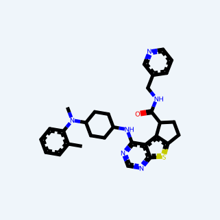 Cc1ccccc1N(C)C1CCC(Nc2ncnc3sc4c(c23)C(C(=O)NCc2cccnc2)CC4)CC1